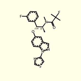 C[C@@H]([C@H](Oc1ccc2c(cnn2-c2cscn2)c1)c1cccc(F)c1)N(C)C(=O)C(C)(C)F